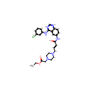 CCOC(=O)CN1CCN(CC=CC(=O)Nc2ccc3ncnc(Nc4cccc(Br)c4)c3c2)CC1